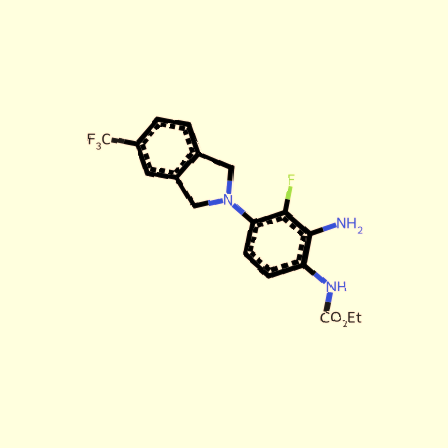 CCOC(=O)Nc1ccc(N2Cc3ccc(C(F)(F)F)cc3C2)c(F)c1N